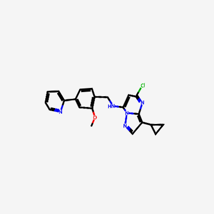 COc1cc(-c2ccccn2)ccc1CNc1cc(Cl)nc2c(C3CC3)cnn12